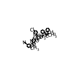 Cc1ccc(C#N)cc1-n1ncc2c(O[C@@H](COCCO[Si](c3ccccc3)(c3ccccc3)C(C)(C)C)C(=O)Nc3ccc(Cl)cn3)ncnc21